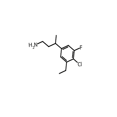 CCc1cc(C(C)CCN)cc(F)c1Cl